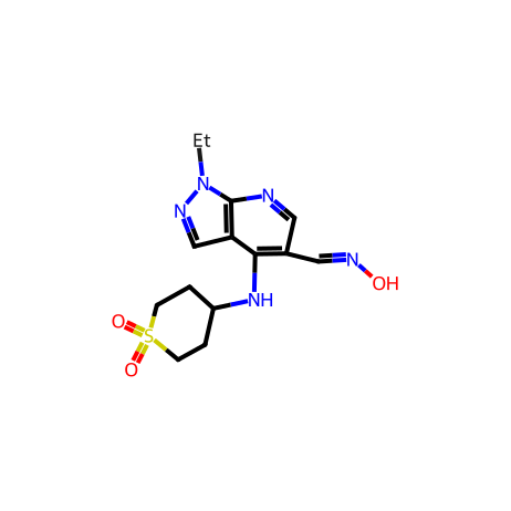 CCn1ncc2c(NC3CCS(=O)(=O)CC3)c(/C=N/O)cnc21